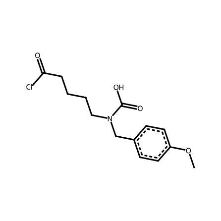 COc1ccc(CN(CCCCC(=O)Cl)C(=O)O)cc1